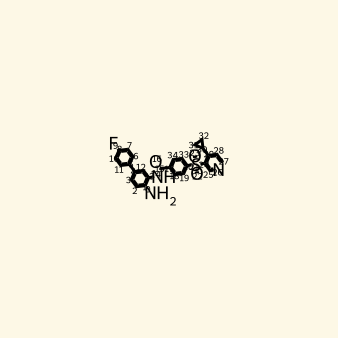 Nc1ccc(-c2ccc(F)cc2)cc1NC(=O)c1ccc(S(=O)(=O)c2cnccc2C2CC2)cc1